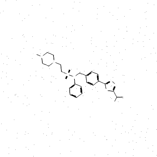 CC(=O)N1CCN(CCS(=O)(=O)N(Cc2ccc(-c3nnc(C(F)F)o3)cc2)c2ccccc2)CC1